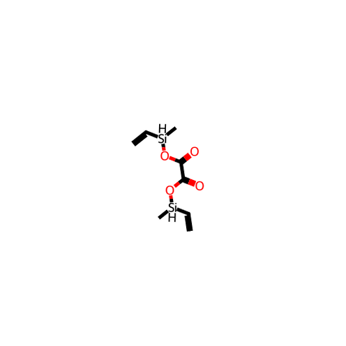 C=C[SiH](C)OC(=O)C(=O)O[SiH](C)C=C